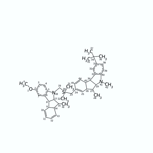 COc1ccc2c(c1)C1C3C=CC=CC3C(C)C1N2C[Si](C)(C)CC1=CC2C(C)C3C(c4cc(C(C)(C)C)ccc4N3C)C2C=C1